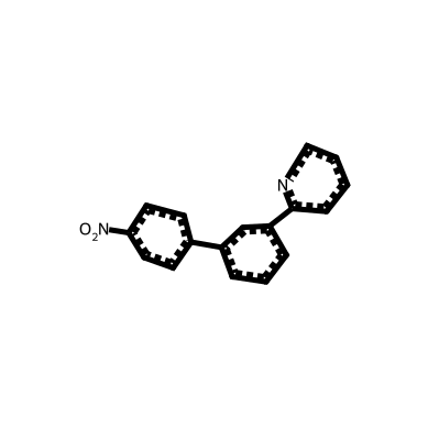 O=[N+]([O-])c1ccc(-c2cccc(-c3ccccn3)c2)cc1